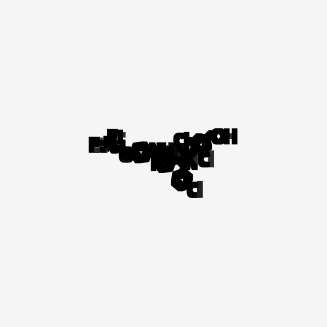 CCN(CC)CCOc1ccc(Nc2nccc(-c3[nH]c(-c4c(Cl)cc(CO)cc4Cl)nc3-c3cccc(Cl)c3)n2)cc1